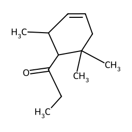 CCC(=O)C1C(C)C=CCC1(C)C